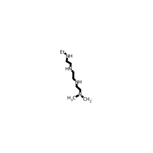 [CH2]CNCCNCCNCCN([CH2])C